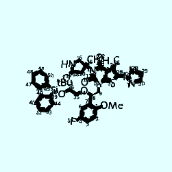 COc1ccc(F)cc1[C@H](Cn1c(=O)n(C2(C)CNC(=O)C2)c(=O)c2c(C)c(-n3nccn3)sc21)OCCO[Si](c1ccccc1)(c1ccccc1)C(C)(C)C